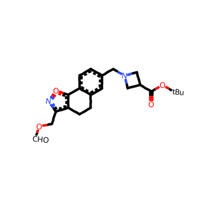 CC(C)(C)OC(=O)C1CN(Cc2ccc3c(c2)CCc2c(COC=O)noc2-3)C1